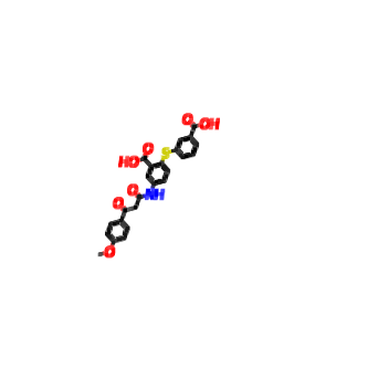 COc1ccc(C(=O)CC(=O)Nc2ccc(Sc3cccc(C(=O)O)c3)c(C(=O)O)c2)cc1